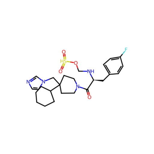 O=C([C@H](Cc1ccc(F)cc1)NCO[SH](=O)=O)N1CCC(Cn2ccnc2)(C2CCCCC2)CC1